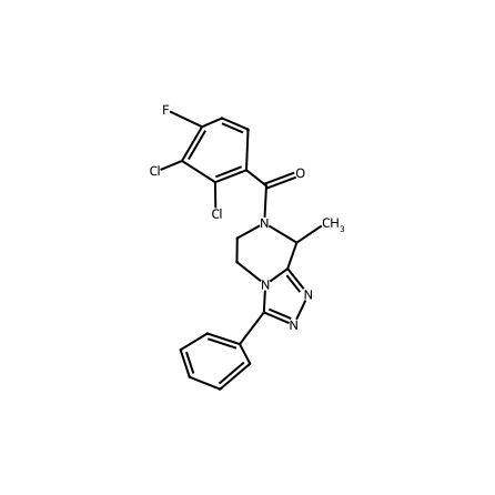 CC1c2nnc(-c3ccccc3)n2CCN1C(=O)c1ccc(F)c(Cl)c1Cl